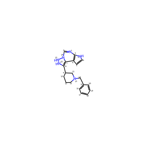 C1=Nc2[nH]ccc2C2=C(C3CCCN(Cc4ccccc4)C3)NNN12